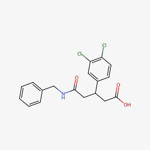 O=C(O)CC(CC(=O)NCc1ccccc1)c1ccc(Cl)c(Cl)c1